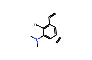 C=C.C=Cc1cccc(N(C)C)c1CC